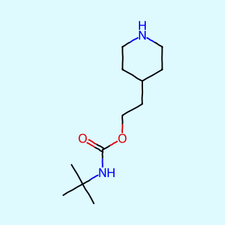 CC(C)(C)NC(=O)OCCC1CCNCC1